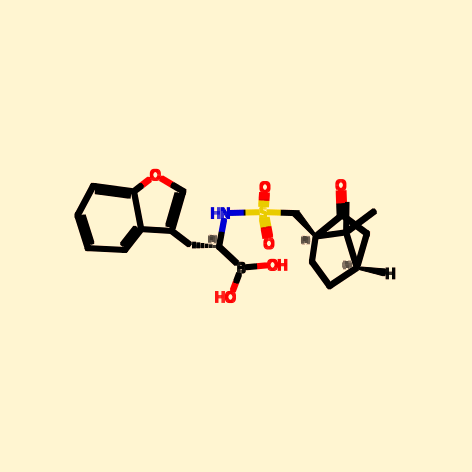 CC1(C)[C@H]2CC[C@]1(CS(=O)(=O)N[C@@H](Cc1coc3ccccc13)B(O)O)C(=O)C2